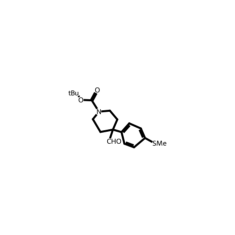 CSc1ccc(C2(C=O)CCN(C(=O)OC(C)(C)C)CC2)cc1